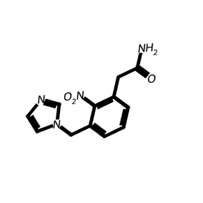 NC(=O)Cc1cccc(Cn2ccnc2)c1[N+](=O)[O-]